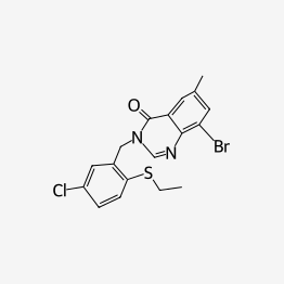 CCSc1ccc(Cl)cc1Cn1cnc2c(Br)cc(C)cc2c1=O